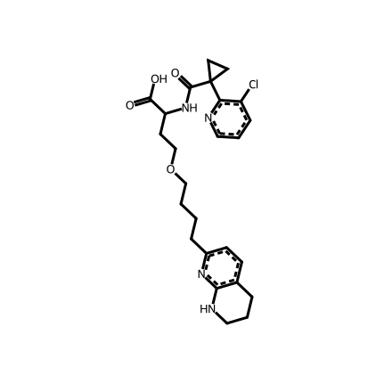 O=C(O)C(CCOCCCCc1ccc2c(n1)NCCC2)NC(=O)C1(c2ncccc2Cl)CC1